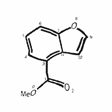 COC(=O)c1cccc2occc12